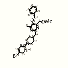 COCc1nc(CC2CCN(C3=CC=C(Br)CN3)CC2)nc(C)c1OCc1ccccc1